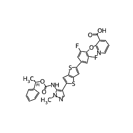 C[C@@H](OC(=O)Nc1c(-c2cc3sc(-c4cc(F)c(Oc5ncccc5C(=O)O)c(F)c4)cc3s2)cnn1C)c1ccccc1